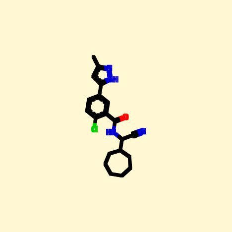 Cc1cc(-c2ccc(Cl)c(C(=O)NC(C#N)C3CCCCCC3)c2)[nH]n1